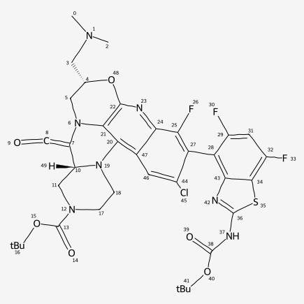 CN(C)C[C@H]1CN2C(=C=O)[C@H]3CN(C(=O)OC(C)(C)C)CCN3c3c2c(nc2c(F)c(-c4c(F)cc(F)c5sc(NC(=O)OC(C)(C)C)nc45)c(Cl)cc32)O1